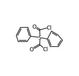 O=C(Cl)S(C(=O)Cl)(c1ccccc1)c1ccccc1